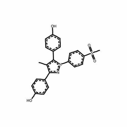 Cc1c(-c2ccc(O)cc2)nn(-c2ccc(S(C)(=O)=O)cc2)c1-c1ccc(O)cc1